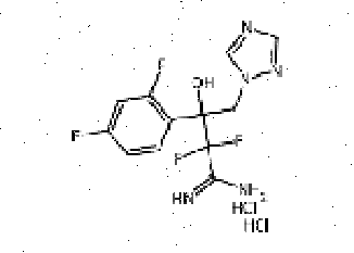 Cl.Cl.N=C(N)C(F)(F)C(O)(Cn1cncn1)c1ccc(F)cc1F